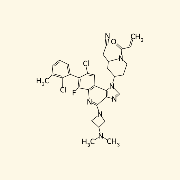 C=CC(=O)N1CCC(n2cnc3c(N4CC(N(C)C)C4)nc4c(F)c(-c5cccc(C)c5Cl)c(Cl)cc4c32)CC1CC#N